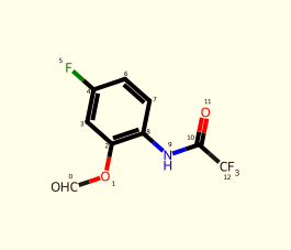 O=COc1cc(F)ccc1NC(=O)C(F)(F)F